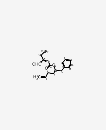 C=CCCC(Cc1ccccc1)OC(=O)/N=C(\C=O)CC(C)C